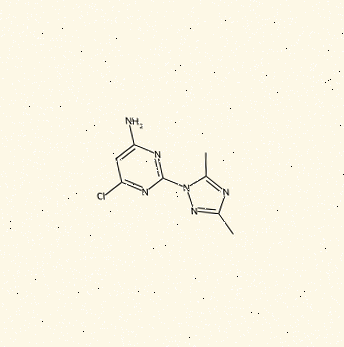 Cc1nc(C)n(-c2nc(N)cc(Cl)n2)n1